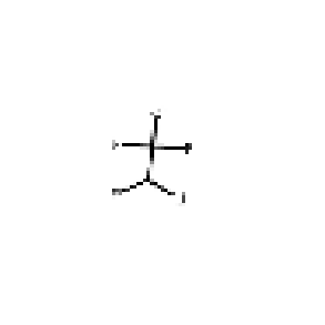 [O]C(F)(F)C(F)Cl